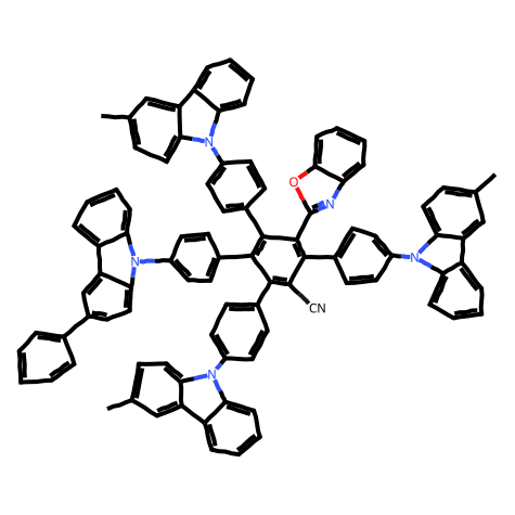 Cc1ccc2c(c1)c1ccccc1n2-c1ccc(-c2c(C#N)c(-c3ccc(-n4c5ccccc5c5cc(C)ccc54)cc3)c(-c3nc4ccccc4o3)c(-c3ccc(-n4c5ccccc5c5cc(C)ccc54)cc3)c2-c2ccc(-n3c4ccccc4c4cc(-c5ccccc5)ccc43)cc2)cc1